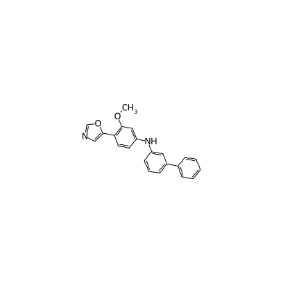 COc1cc(Nc2cccc(-c3ccccc3)c2)ccc1-c1cnco1